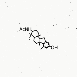 CC(=O)NC1CCC2(C)C3Cc4cc(O)cc(C)c4C3(C)CCC2C1(C)C